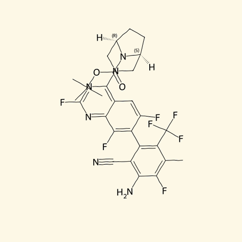 Cc1c(F)c(N)c(C#N)c(-c2c(F)cc3c(N4C[C@H]5CC[C@@H](C4)N5C(=O)OC(C)(C)C)nc(F)nc3c2F)c1C(F)(F)F